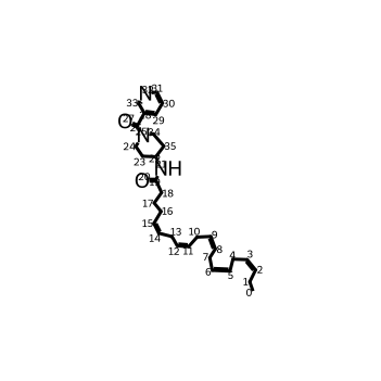 CC/C=C\C/C=C\C/C=C\C/C=C\C/C=C\CCCC(=O)NC1CCN(C(=O)c2cccnc2)CC1